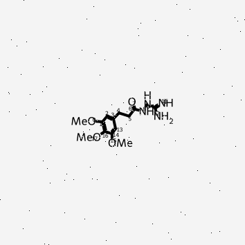 COc1cc(CCC(=O)NNC(=N)N)cc(OC)c1OC